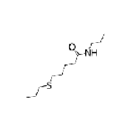 CCCNC(=O)CCCCSCCC